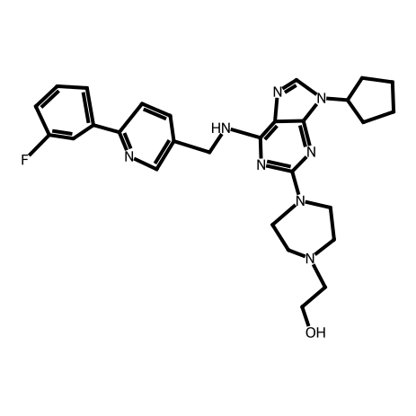 OCCN1CCN(c2nc(NCc3ccc(-c4cccc(F)c4)nc3)c3ncn(C4CCCC4)c3n2)CC1